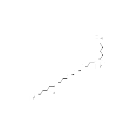 CCOCCCCC(OCC)OCCCOCOCOCCCOC(CCCCOCC)OCC